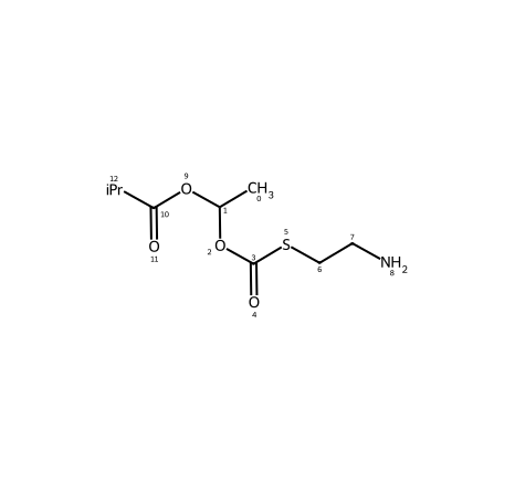 CC(OC(=O)SCCN)OC(=O)C(C)C